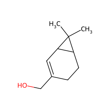 CC1(C)C2C=C(CO)CCC21